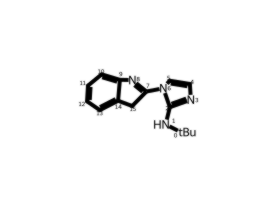 CC(C)(C)Nc1nccn1C1=Nc2ccccc2C1